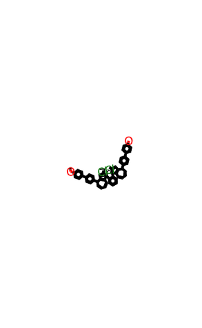 COc1ccc(-c2ccc(C3C=CC=CC4=C3C=C(C)[C]43c4ccccc4[C]4(C(C)=CC5=C4C=CC=CC5c4ccc(-c5ccc(OC)cc5)cc4)[Zr]3([Cl])[Cl])cc2)cc1